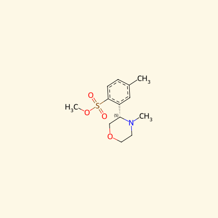 COS(=O)(=O)c1ccc(C)cc1[C@H]1COCCN1C